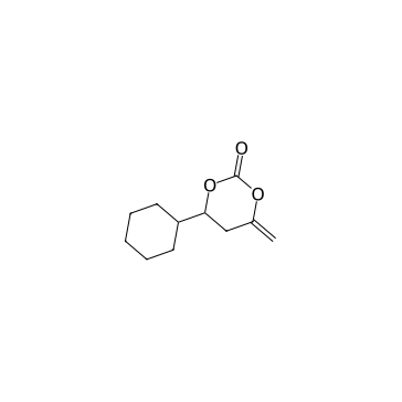 C=C1CC(C2CCCCC2)OC(=O)O1